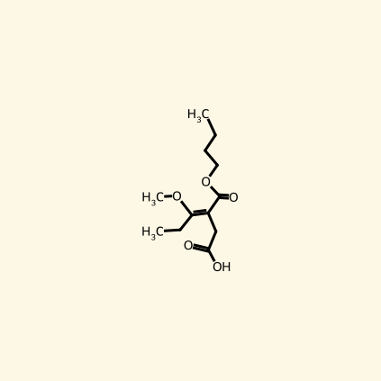 CCCCOC(=O)C(CC(=O)O)=C(CC)OC